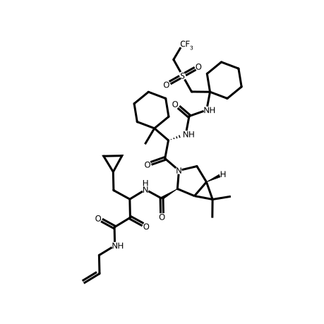 C=CCNC(=O)C(=O)C(CC1CC1)NC(=O)[C@@H]1C2[C@H](CN1C(=O)[C@@H](NC(=O)NC1(CS(=O)(=O)CC(F)(F)F)CCCCC1)C1(C)CCCCC1)C2(C)C